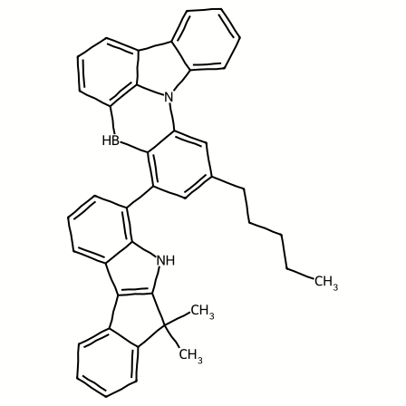 CCCCCc1cc(-c2cccc3c4c([nH]c23)C(C)(C)c2ccccc2-4)c2c(c1)-n1c3ccccc3c3cccc(c31)B2